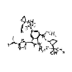 CCN(CC1CCC1C(C)(C)O)c1cc(S(=O)(=O)NC2(C#N)CC2)cc2c(-c3nnc(C(F)F)s3)nn(C)c12